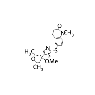 COC1(c2cnc(Sc3ccc4c(c3)CCC(=O)N4C)s2)CC(C)OC(C)C1